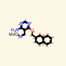 CO/N=C\c1c(N)ncnc1OCc1ccc2ccccc2c1